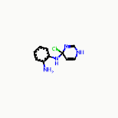 Nc1ccccc1NC1(Cl)C=CNC=N1